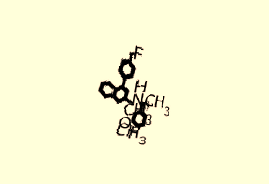 COc1cc([C@@H](C)NC(C)c2cc(-c3ccc(CF)cc3)c3ccccc3c2)ccc1F